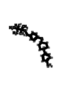 CC(C)(C)[Si](C)(C)OCc1ccc(OC2CCN(c3ccc(N)nc3)CC2)cc1